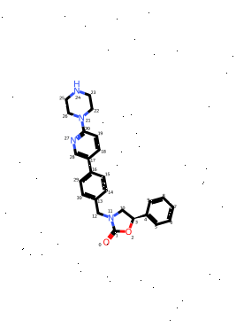 O=C1O[C@H](c2ccccc2)CN1Cc1ccc(-c2ccc(N3CCNCC3)nc2)cc1